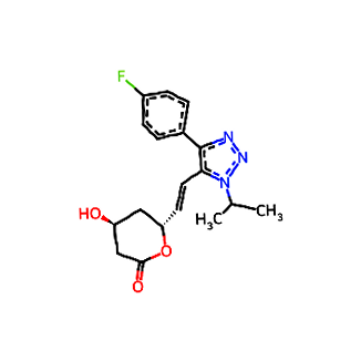 CC(C)n1nnc(-c2ccc(F)cc2)c1C=C[C@H]1C[C@H](O)CC(=O)O1